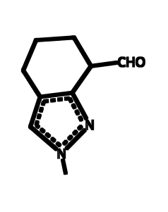 Cn1cc2c(n1)C(C=O)CCC2